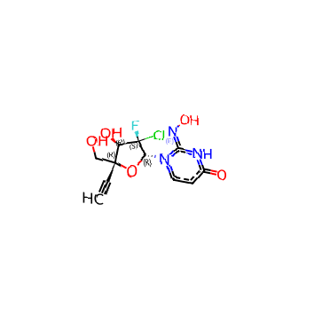 C#C[C@]1(CO)O[C@@H](n2ccc(=O)[nH]/c2=N\O)[C@@](F)(Cl)[C@@H]1O